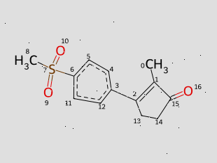 CC1=C(c2ccc(S(C)(=O)=O)cc2)CCC1=O